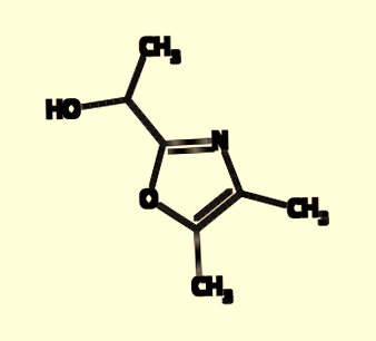 Cc1nc(C(C)O)oc1C